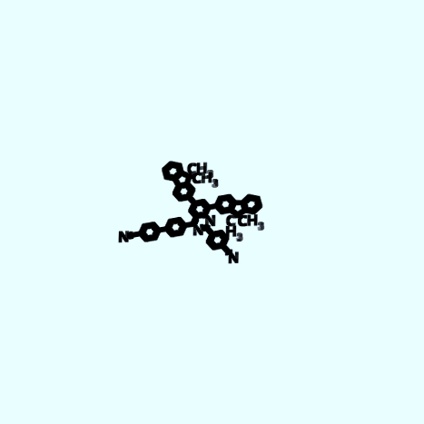 CC1(C)c2ccccc2-c2ccc(-c3cc(-c4ccc5c(c4)C(C)(C)c4ccccc4-5)c4nc(-c5ccc(C#N)cc5)nc(-c5ccc(-c6ccc(C#N)cc6)cc5)c4c3)cc21